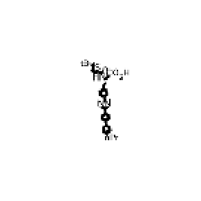 CCCc1ccc(-c2ccc(-c3cnc(-c4ccc(CC[C@@H](CC(=O)O)NC(=O)c5ccc(C(C)(C)C)s5)cc4)nc3)cc2)cc1